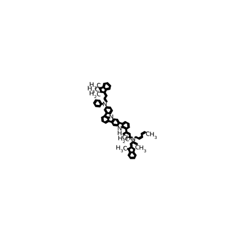 C=C/C(=C\C(=C)N(C/C=C\C=C/C)C(/C=C1\Cc2ccccc2C1C)=C/C)c1cccc2c1[nH]c1cc3c4cccc5c6cc(N(/C=C/C=C7\C(=C)C(C)(C)c8ccccc87)c7ccccc7)ccc6n(c3cc12)c54